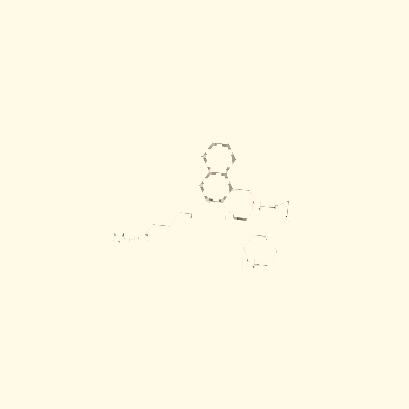 COCCCOc1cc(CN(C(=O)[C@H]2CNCCO2)C2CC2)c2ccccc2c1